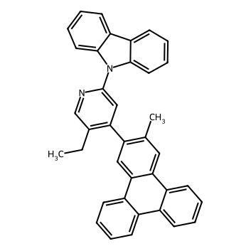 CCc1cnc(-n2c3ccccc3c3ccccc32)cc1-c1cc2c3ccccc3c3ccccc3c2cc1C